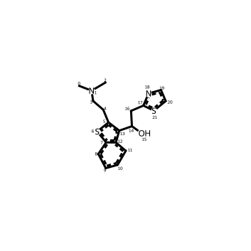 CN(C)CCc1sc2ccccc2c1C(O)Cc1nccs1